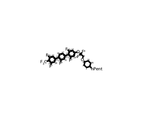 CCCCCC1CCC(OCC(F)(F)Oc2cc(F)c(-c3ccc(-c4cc(F)c(C(F)(F)F)c(F)c4)c(F)c3)c(F)c2)CC1